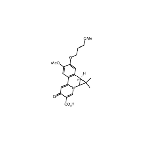 COCCCOc1cc2c(cc1OC)-c1cc(=O)c(C(=O)O)cn1C1[C@@H]2C1(C)C